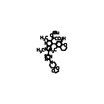 Cc1nc2c(cc(-c3nc(N4CCC5(CC4)OCCO5)ns3)n2C)c(-c2cc(F)c3c(c2C)CCCO3)c1[C@H](OC(C)(C)C)C(=O)O